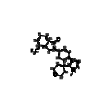 Cn1cnnc1C1(c2cccc(N3Cc4c(cccc4C(F)(F)F)C3=O)c2)CCOCC1